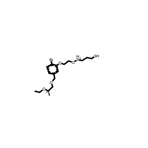 CCO[C@H](C)COCc1ccc(Br)c(OCCO[SiH2]CCCS)c1